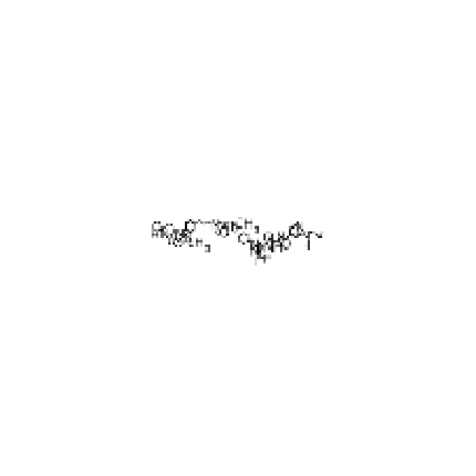 CN(C[C@H]1CN(CCCc2ccc3c(c2)n(C)c(=O)n3C2CCC(=O)NC2=O)CCO1)C[C@H]1CC[C@H](n2cc(NC(=O)c3coc(-c4ccnc(NCC5CC5)c4)n3)c(C(F)F)n2)CC1